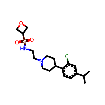 CC(C)c1ccc(C2CCN(CCNS(=O)(=O)C3COC3)CC2)c(Cl)c1